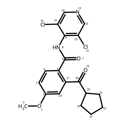 COc1ccc(C(=O)Nc2c(Cl)cncc2Cl)c(C(=O)C2CCCC2)c1